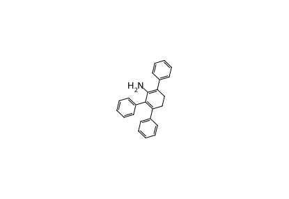 NC1=C(c2ccccc2)CCC(c2ccccc2)=C1c1ccccc1